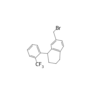 FC(F)(F)c1ccccc1C1CCCc2ccc(CBr)cc21